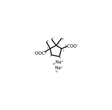 CC1(C(=O)[O-])CCC(C(=O)[O-])C1(C)C.[Na+].[Na+]